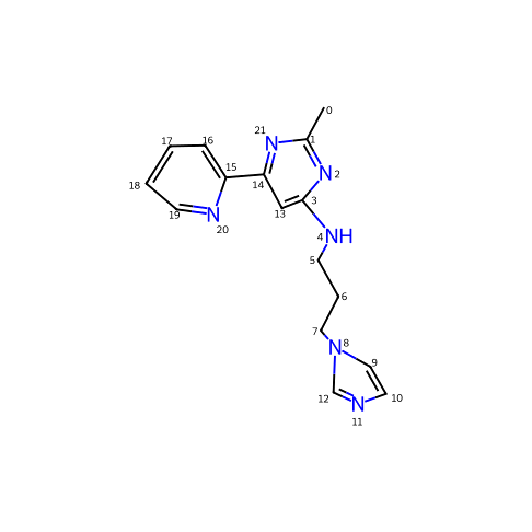 Cc1nc(NCCCn2ccnc2)cc(-c2ccccn2)n1